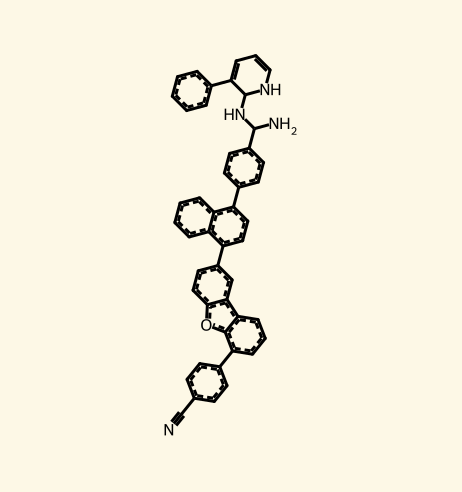 N#Cc1ccc(-c2cccc3c2oc2ccc(-c4ccc(-c5ccc(C(N)NC6NC=CC=C6c6ccccc6)cc5)c5ccccc45)cc23)cc1